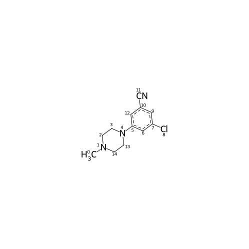 CN1CCN(c2cc(Cl)cc(C#N)c2)CC1